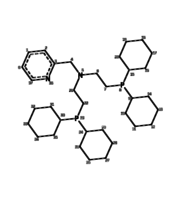 c1ccc(CN(CCP(C2CCCCC2)C2CCCCC2)CCP(C2CCCCC2)C2CCCCC2)nc1